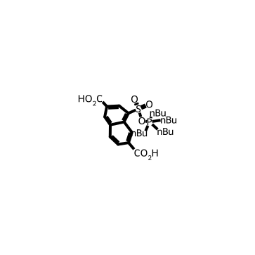 CCCCP(CCCC)(CCCC)(CCCC)OS(=O)(=O)c1cc(C(=O)O)cc2ccc(C(=O)O)cc12